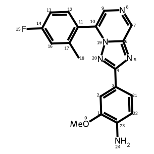 COc1cc(-c2nc3cncc(-c4ccc(F)cc4C)n3n2)ccc1N